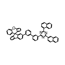 c1cc(-c2cccc(-c3nc(-c4ccc5ccccc5c4)nc(-c4cccc5ccccc45)n3)c2)cc(-c2ccc3c(c2)C2(c4ccccc4Oc4ccccc42)c2ccccc2-3)c1